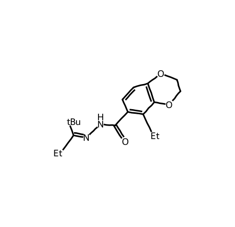 CCC(=NNC(=O)c1ccc2c(c1CC)OCCO2)C(C)(C)C